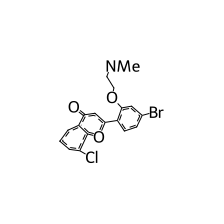 CNCCOc1cc(Br)ccc1-c1cc(=O)c2cccc(Cl)c2o1